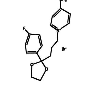 Cc1cc[n+](CCCC2(c3ccc(F)cc3)OCCO2)cc1.[Br-]